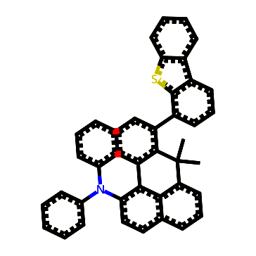 CC1(C)c2c(-c3cccc4c3sc3ccccc34)cccc2-c2c(N(c3ccccc3)c3ccccc3)ccc3cccc1c23